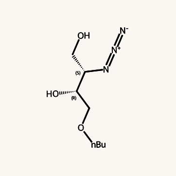 CCCCOC[C@H](O)[C@H](CO)N=[N+]=[N-]